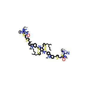 [C-]#[N+]C([N+]#[C-])=c1s/c(=C/c2ccc(-c3ccc4c(c3)c3ccc(-c5nc6c(-c7ccc(CC(CC)CCCC)s7)c7sc(-c8ccc9c%10cc(-c%11ccc(/C=c%12\s/c(=C(/C#N)[N+]#[C-])n(CC)c%12=O)s%11)ccc%10n(CC)c9c8)nc7c(-c7ccc(CC(CC)CCCC)s7)c6s5)cc3n4CC)s2)c(=O)n1CC